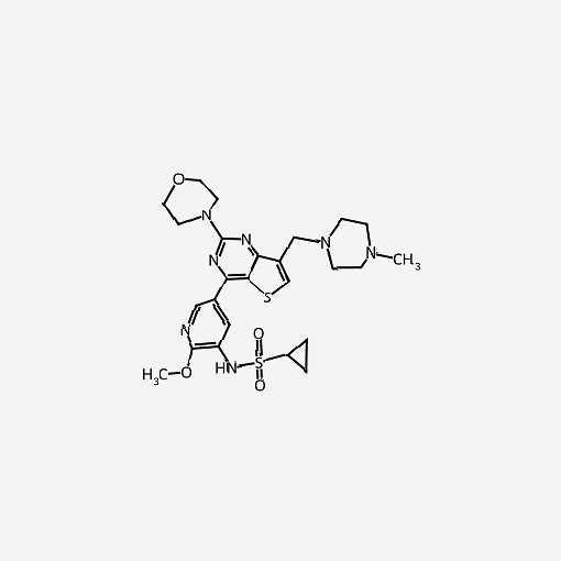 COc1ncc(-c2nc(N3CCOCC3)nc3c(CN4CCN(C)CC4)csc23)cc1NS(=O)(=O)C1CC1